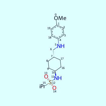 COc1ccc(NC[C@H]2CC[C@H](NS(=O)(=O)C(C)C)CC2)cc1